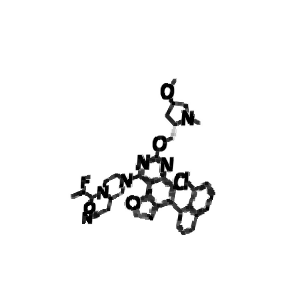 C=C(F)C(=O)N1CCN(c2nc(OC[C@@H]3C[C@@H](OC)CN3C)nc3cc(-c4cccc5cccc(Cl)c45)c4ccoc4c23)CC1CC#N